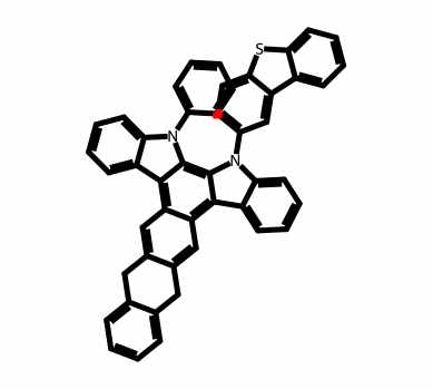 c1ccc(-n2c3ccccc3c3c4cc5c(cc4c4c6ccccc6n(-c6ccc7sc8ccccc8c7c6)c4c32)Cc2ccccc2C5)cc1